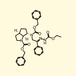 CCOC(=O)N/N=C(/CN(C(=O)OCc1ccccc1)[C@H]1CC[C@@H]2CCN(C(=O)OCc3ccccc3)[C@@H]21)c1ccccc1